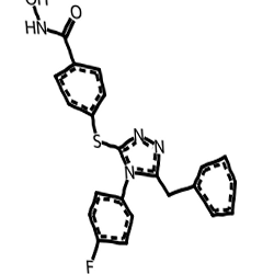 O=C(NO)c1ccc(Sc2nnc(Cc3ccccc3)n2-c2ccc(F)cc2)cc1